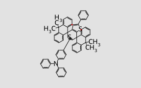 CC1(C)c2ccccc2C2(c3ccccc31)c1cc(-c3ccc(N(c4ccccc4)c4ccccc4)cc3)sc1C1(c3ccccc3C(C)(C)c3ccccc31)c1cc(-c3ccccc3)sc12